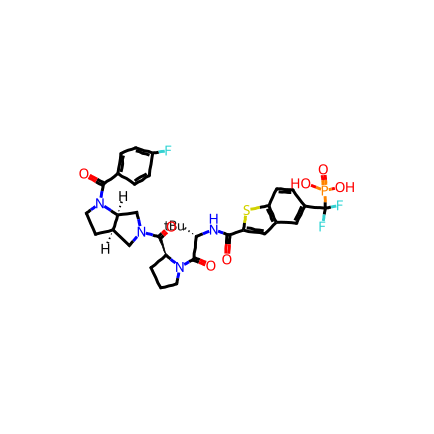 CC(C)(C)[C@H](NC(=O)c1cc2cc(C(F)(F)P(=O)(O)O)ccc2s1)C(=O)N1CCC[C@H]1C(=O)N1C[C@H]2CCN(C(=O)c3ccc(F)cc3)[C@H]2C1